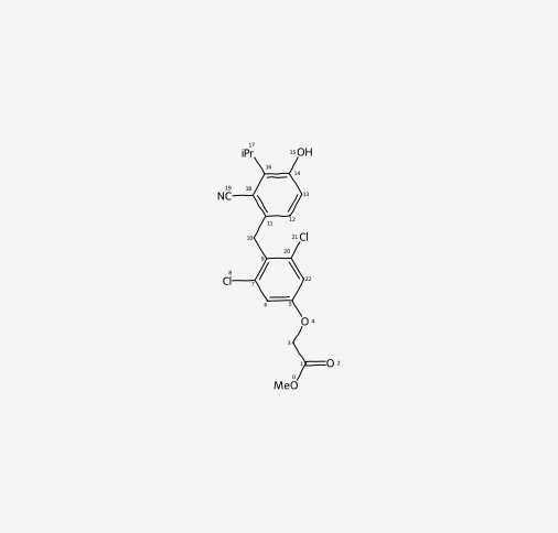 COC(=O)COc1cc(Cl)c(Cc2ccc(O)c(C(C)C)c2C#N)c(Cl)c1